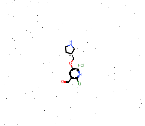 Cl.O=Cc1cc(OC[C@H]2CCNC2)cnc1Cl